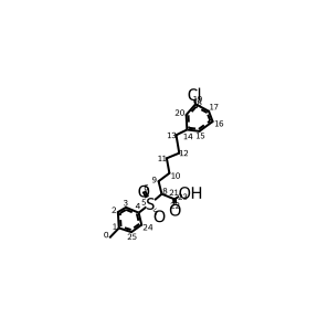 Cc1ccc(S(=O)(=O)C(CCCCCc2cccc(Cl)c2)C(=O)O)cc1